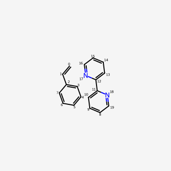 C=Cc1ccccc1.c1ccc(-c2ccccn2)nc1